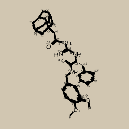 COc1ccc(CNC(=O)[C@@H](Cc2ccccc2)NC(=N)NC(=O)CC23CC4CC(CC(C4)C2)C3)cc1OC